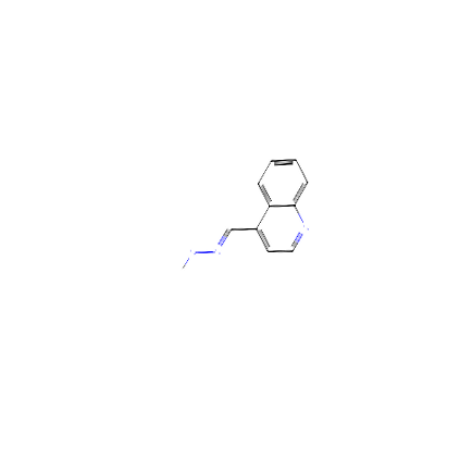 O=C(O)NN=Cc1ccnc2ccccc12